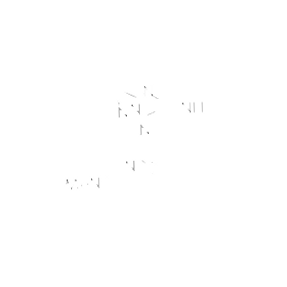 CNC1CCN(C(=O)C2CN(c3c4c(nc5ccnn35)CCNCC4)C2)CC1